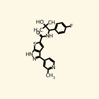 Cc1cc(-c2n[nH]c3sc(C(=O)NC(c4ccc(F)cc4)C(C)(C)O)cc23)ccn1